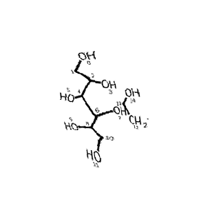 OCC(O)C(O)C(O)C(O)CO.[CH2]CO